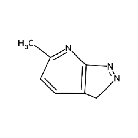 Cc1ccc2c(n1)N=NC2